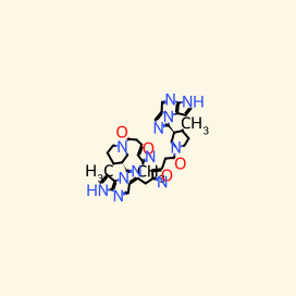 Cc1cc(CC(=O)N2CC[C@@H](C)[C@@H](c3nc(Cc4cc(CC(=O)N5CC[C@H](C)[C@H](c6ncc7cnc8[nH]ccc8n67)C5)on4)c4cnc5[nH]ccc5n34)C2)on1